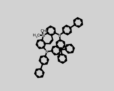 C[Si]1(C)c2cccc(N(c3ccc(-c4ccccc4)cc3)c3ccc(-c4ccccc4)cc3)c2C=Cc2c(N(c3ccc(-c4ccccc4)cc3)c3ccc(-c4ccccc4)cc3)cccc21